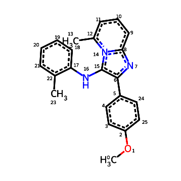 COc1ccc(-c2nc3cccc(C)n3c2Nc2ccccc2C)cc1